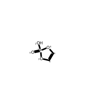 O=P1(O)OC=CO1